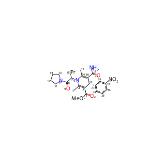 COC(=O)C1=C(C)N(C(C(=O)N2CCCC2)C(C)C)C(C)=C(C(N)=O)[C@@H]1c1cccc([N+](=O)[O-])c1